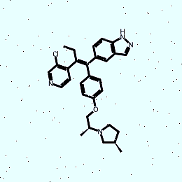 CC/C(=C(/c1ccc(OC[C@H](C)N2CC[C@@H](C)C2)cc1)c1ccc2[nH]ncc2c1)c1ccncc1Cl